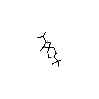 CC(C)N1CC2(CCC(C(C)(C)C)CC2)C1C